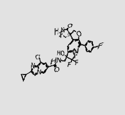 NC(=O)[C@@]1(CF)COc2c1cc(C(O)(CNC(=O)c1cc(Cl)c3nc(C4CC4)cn3c1)C(F)(F)F)nc2-c1ccc(F)cc1